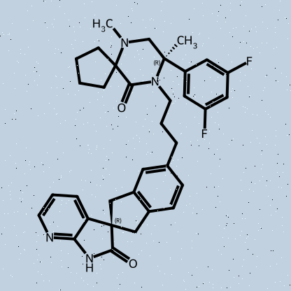 CN1C[C@@](C)(c2cc(F)cc(F)c2)N(CCCc2ccc3c(c2)C[C@@]2(C3)C(=O)Nc3ncccc32)C(=O)C12CCCC2